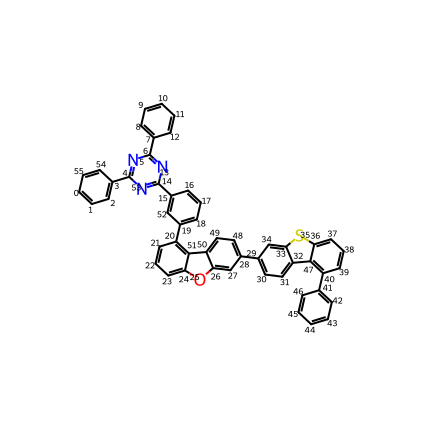 c1ccc(-c2nc(-c3ccccc3)nc(-c3cccc(-c4cccc5oc6cc(-c7ccc8c(c7)sc7cccc(-c9ccccc9)c78)ccc6c45)c3)n2)cc1